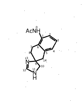 CC(=O)Nc1cccc2c1CCC1(CNC=N1)C2